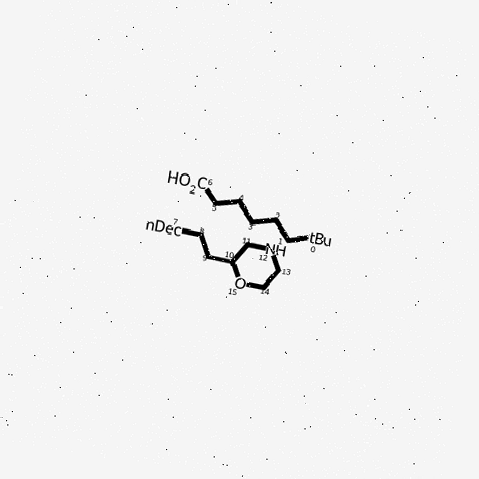 CC(C)(C)CCCCCC(=O)O.CCCCCCCCCCCCC1CNCCO1